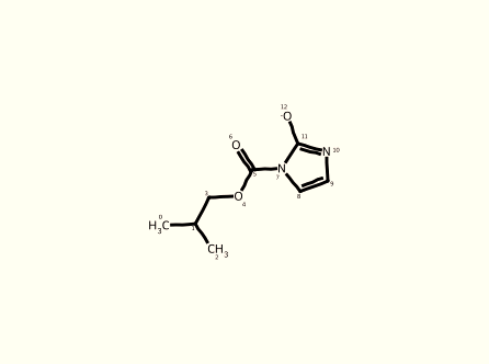 CC(C)COC(=O)n1ccnc1[O]